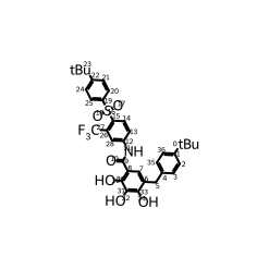 CC(C)(C)c1ccc(Cc2cc(C(=O)Nc3ccc(S(=O)(=O)c4ccc(C(C)(C)C)cc4)c(C(F)(F)F)c3)c(O)c(O)c2O)cc1